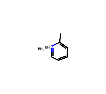 B.B.Cc1ccccn1